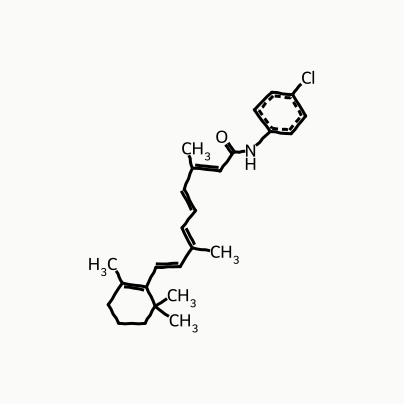 CC(C=CC1=C(C)CCCC1(C)C)=CC=CC(C)=CC(=O)Nc1ccc(Cl)cc1